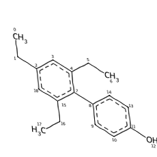 CCc1cc(CC)c(-c2ccc(O)cc2)c(CC)c1